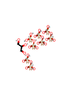 O=CC(=O)C=O.O=[SH](=O)O[SH](=O)=O.O=[SH](=O)O[SH](=O)=O.O=[SH](=O)O[SH](=O)=O.O=[SH](=O)O[SH](=O)=O